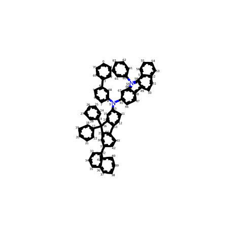 c1ccc(-c2cccc(N(c3ccc4c(c3)C(c3ccccc3)(c3ccccc3)c3cc(-c5cccc6ccccc56)ccc3-4)c3ccc4c5ccc6ccccc6c5n(-c5ccccc5)c4c3)c2)cc1